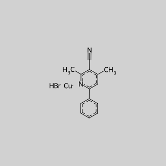 Br.Cc1cc(-c2ccccc2)nc(C)c1C#N.[Cu]